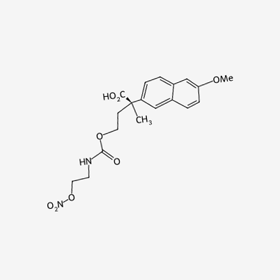 COc1ccc2cc([C@](C)(CCOC(=O)NCCO[N+](=O)[O-])C(=O)O)ccc2c1